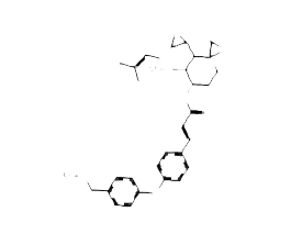 COCc1ccc(Oc2ccc(/C=C/C(=O)O[C@@H]3CC[C@]4(CO4)C([C@]4(C)O[C@H]4CC=C(C)C)[C@@H]3OC)cc2)cc1